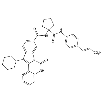 O=C(O)/C=C/c1ccc(NC(=O)C2(NC(=O)c3ccc4c(C5CCCCC5)c5c6ncccc6[nH]c(=O)n5c4c3)CCCC2)cc1